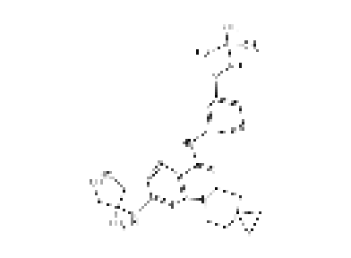 CC(C)(C)NSc1cccc(NC(=O)c2ncc(NC(C)(CO)CO)nc2N2CCC3(CC2)CC3)c1